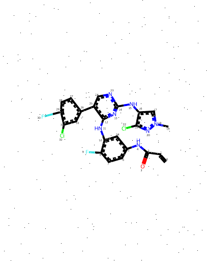 C=CC(=O)Nc1ccc(F)c(Nc2nc(Nc3cn(C)nc3Cl)ncc2-c2ccc(F)c(Cl)c2)c1